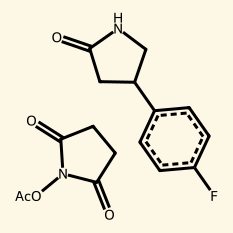 CC(=O)ON1C(=O)CCC1=O.O=C1CC(c2ccc(F)cc2)CN1